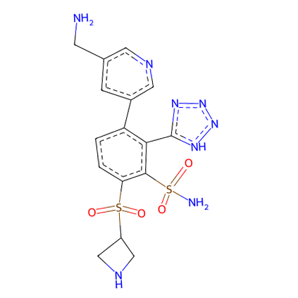 NCc1cncc(-c2ccc(S(=O)(=O)C3CNC3)c(S(N)(=O)=O)c2-c2nnn[nH]2)c1